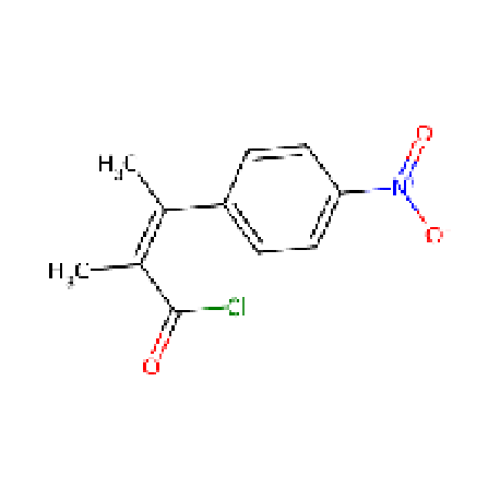 CC(C(=O)Cl)=C(C)c1ccc([N+](=O)[O-])cc1